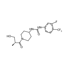 C[C@@H](CO)C(=O)N1CCC(NC(=O)Nc2ccc(C(F)(F)F)c(F)c2)CC1